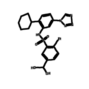 CCc1ccc(C(O)O)cc1S(=O)(=O)Nc1cc(-n2cnnn2)ccc1C1CCCCC1